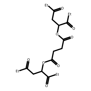 CCC(=O)CC(OC(=O)CCC(=O)OC(CC(=O)CC)C(=O)CC)C(=O)CC